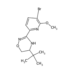 COc1nc(C2=NOCC(C(C)(C)C)N2)ccc1Br